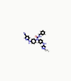 Cn1cc(Nc2ccc(N(C(=O)NCc3ccccc3)C3CCC=C(Nc4ccc(C#N)cn4)CC3)cc2)cn1